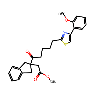 CCCOc1ccccc1-c1csc(CCCCC(=O)C2(CC(=O)OC(C)(C)C)Cc3ccccc3C2)n1